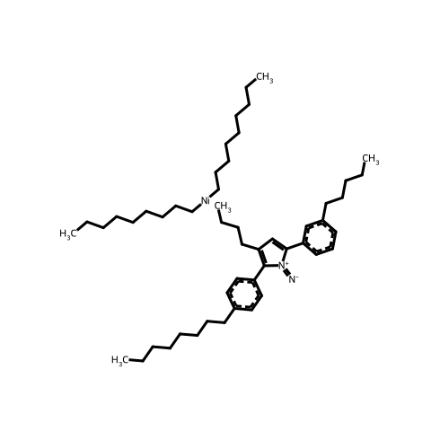 CCCCCCCC[CH2][Ni][CH2]CCCCCCCC.CCCCCCCCc1ccc(C2=C(CCCC)C=C(c3cccc(CCCCC)c3)[N+]2=[N-])cc1